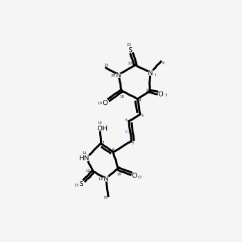 CN1C(=O)C(=C/C=C/c2c(O)[nH]c(=S)n(C)c2=O)C(=O)N(C)C1=S